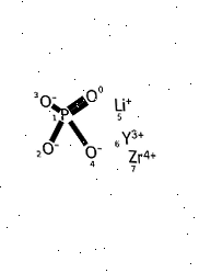 O=P([O-])([O-])[O-].[Li+].[Y+3].[Zr+4]